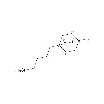 CCCCCCCCCCCC12CCC(C)(CC1)CC2